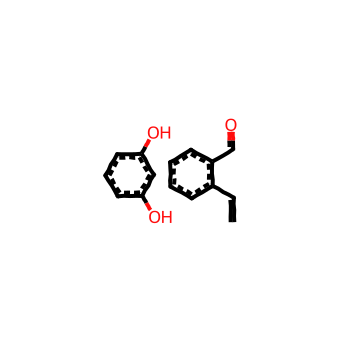 C=Cc1ccccc1C=O.Oc1cccc(O)c1